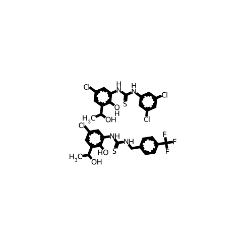 CC(O)c1cc(Cl)cc(NC(=S)NCc2ccc(C(F)(F)F)cc2)c1O.CC(O)c1cc(Cl)cc(NC(=S)Nc2cc(Cl)cc(Cl)c2)c1O